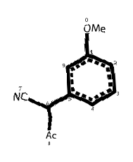 COc1cccc(C(C#N)C(C)=O)c1